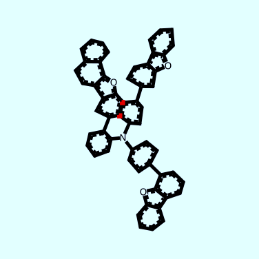 c1ccc(N(c2ccc(-c3ccc4c(c3)oc3ccccc34)cc2)c2ccc(-c3cccc4c3oc3ccccc34)cc2)c(-c2ccc3oc4c5ccccc5ccc4c3c2)c1